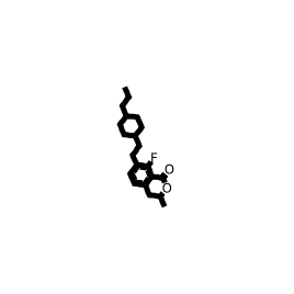 CCCC1CCC(CCc2ccc3c(c2F)C(=O)OC(C)C3)CC1